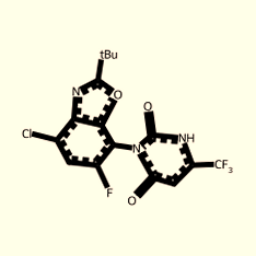 CC(C)(C)c1nc2c(Cl)cc(F)c(-n3c(=O)cc(C(F)(F)F)[nH]c3=O)c2o1